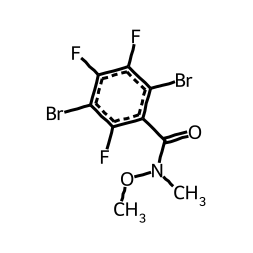 CON(C)C(=O)c1c(F)c(Br)c(F)c(F)c1Br